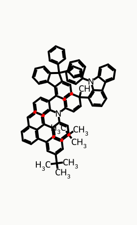 CC(C)(C)c1cc(-c2cccc3cccc(-c4ccccc4N(C4=CCC(C)(c5cccc6c7ccccc7n(-c7ccccc7)c56)C=C4)c4ccccc4-c4cccc5c4-c4ccccc4C5(c4ccccc4)c4ccccc4)c23)cc(C(C)(C)C)c1